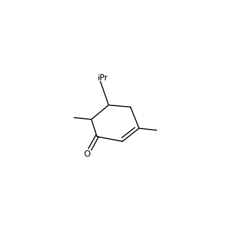 CC1=CC(=O)C(C)C(C(C)C)C1